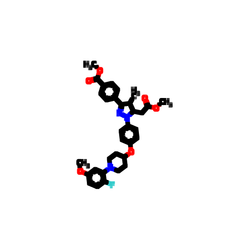 COC(=O)CC1C(C)C(c2ccc(C(=O)OC)cc2)=NN1c1ccc(OC2CCN(c3cc(OC)ccc3F)CC2)cc1